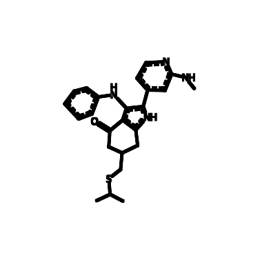 CNc1cc(-c2[nH]c3c(c2Nc2ccccc2)C(=O)CC(CSC(C)C)C3)ccn1